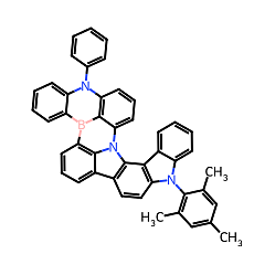 Cc1cc(C)c(-n2c3ccccc3c3c2ccc2c4cccc5c4n(c23)-c2cccc3c2B5c2ccccc2N3c2ccccc2)c(C)c1